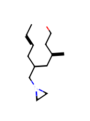 C=C(CCO)CC(C/C=C/C)CN1CC1